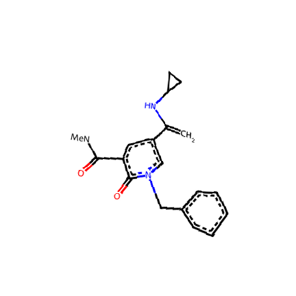 C=C(NC1CC1)c1cc(C(=O)NC)c(=O)n(Cc2ccccc2)c1